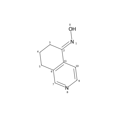 ON=C1CCCc2cnccc21